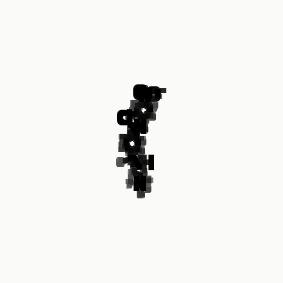 CC(NCC[N+](C)(C)C)c1ccc(N=Nc2ccc([N+](=O)[O-])cc2Cl)cc1